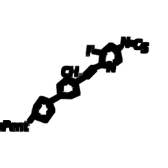 CCCCCc1ccc(-c2ccc(C#Cc3ncc(N=C=S)cc3F)c(C)c2)cc1